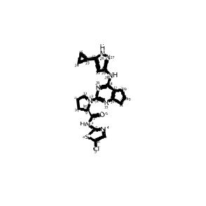 O=C(Nc1ncc(Cl)s1)[C@H]1CCCN1c1nc2c(c(Nc3cc(C4CC4)[nH]n3)n1)CCC2